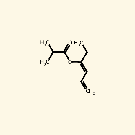 C=CC=C(CC)OC(=O)C(C)C